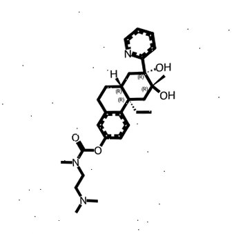 CC[C@@]12C[C@@](C)(O)[C@](O)(c3ccccn3)C[C@H]1CCc1cc(OC(=O)N(C)CCN(C)C)ccc12